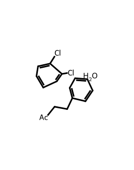 CC(=O)CCc1ccccc1.Clc1ccccc1Cl.O